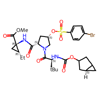 CC[C@@H]1C[C@]1(NC(=O)[C@@H]1C[C@H](OS(=O)(=O)c2ccc(Br)cc2)CN1C(=O)[C@@H](NC(=O)OC1CC2C[C@H]2C1)C(C)(C)C)C(=O)OC